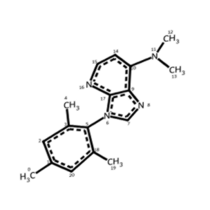 Cc1cc(C)c(-n2cnc3c(N(C)C)ccnc32)c(C)c1